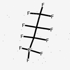 F[B-](F)(F)C(F)(F)C(F)(F)C(F)(F)F